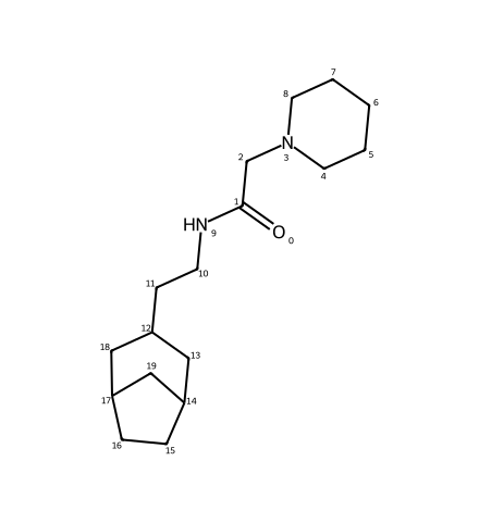 O=C(CN1CCCCC1)NCCC1CC2CCC(C1)C2